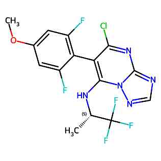 COc1cc(F)c(-c2c(Cl)nc3ncnn3c2N[C@@H](C)C(F)(F)F)c(F)c1